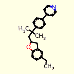 CCc1ccc2c(c1)CC(CC(C)(C)c1ccc(-c3ccncc3)cc1)O2